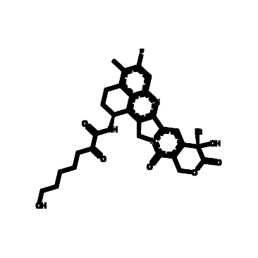 CC[C@@]1(O)C(=O)OCc2c1cc1n(c2=O)Cc2c-1nc1cc(F)c(C)c3c1c2[C@@H](NC(=O)C(=O)CCCCCO)CC3